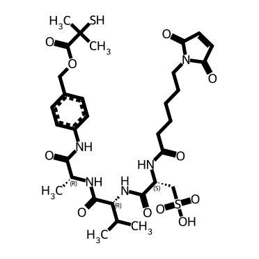 CC(C)[C@@H](NC(=O)[C@@H](CS(=O)(=O)O)NC(=O)CCCCCN1C(=O)C=CC1=O)C(=O)N[C@H](C)C(=O)Nc1ccc(COC(=O)C(C)(C)S)cc1